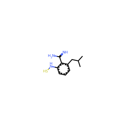 CC(C)Cc1cccc(NS)c1C(=N)N